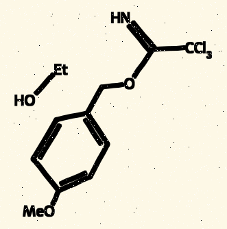 CCO.COc1ccc(COC(=N)C(Cl)(Cl)Cl)cc1